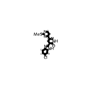 CSc1nccc(-c2cc(-c3nc4ccc(Cl)cc4[nH]3)c(=O)[nH]n2)n1